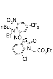 CCCCN(CC)c1c([N+](=O)[O-])cc(C(F)(F)F)cc1[N+](=O)[O-].CCOC(=O)Cn1c(=O)sc2cccc(Cl)c21